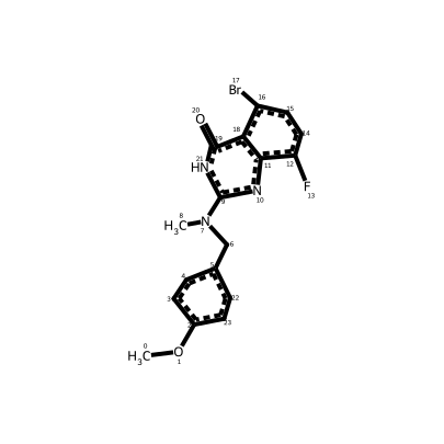 COc1ccc(CN(C)c2nc3c(F)ccc(Br)c3c(=O)[nH]2)cc1